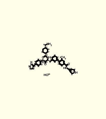 Cc1cc(C(=O)NC2C3CNCC32)ccc1-c1cccc(C[C@H](NC(=O)[C@H]2CC[C@H](CN)CC2)C(=O)Nc2ccc(-c3nnn[nH]3)cc2)c1.Cl